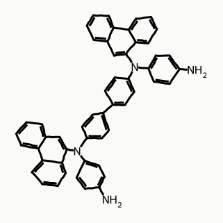 Nc1ccc(N(c2ccc(-c3ccc(N(c4ccc(N)cc4)c4cc5ccccc5c5ccccc45)cc3)cc2)c2cc3ccccc3c3ccccc23)cc1